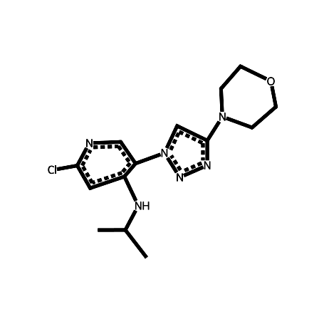 CC(C)Nc1cc(Cl)ncc1-n1cc(N2CCOCC2)nn1